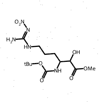 COC(=O)C(O)C(CCCNC(N)=N[N+](=O)[O-])NC(=O)OC(C)(C)C